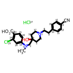 CN(CC1(O)CCN(CCc2ccc(C#N)cc2)CC1)c1ccc(C(=O)O)c(Cl)c1.Cl